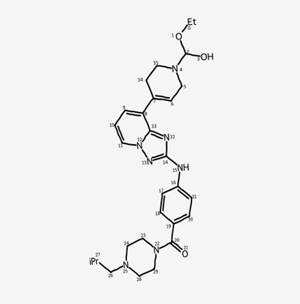 CCOC(O)N1CC=C(c2cccn3nc(Nc4ccc(C(=O)N5CCN(CC(C)C)CC5)cc4)nc23)CC1